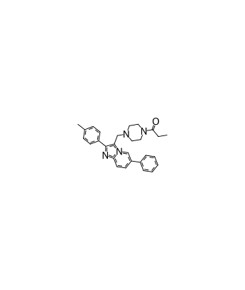 CCC(=O)N1CCN(Cc2c(-c3ccc(C)cc3)nc3ccc(-c4ccccc4)cn23)CC1